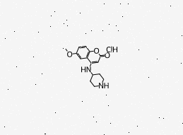 COc1ccc2oc(=O)cc(NC3CCNCC3)c2c1.Cl